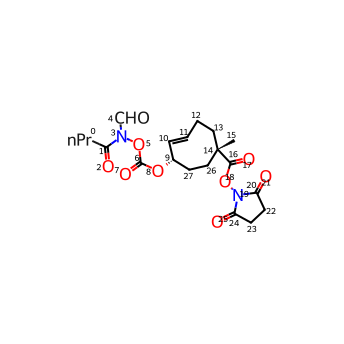 CCCC(=O)N(C=O)OC(=O)O[C@@H]1/C=C/CC[C@](C)(C(=O)ON2C(=O)CCC2=O)CC1